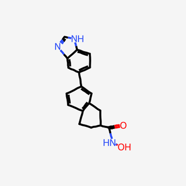 O=C(NO)C1CCc2ccc(-c3ccc4[nH]cnc4c3)cc2C1